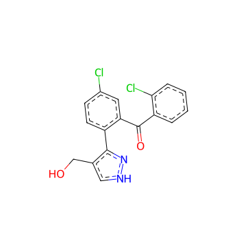 O=C(c1ccccc1Cl)c1cc(Cl)ccc1-c1n[nH]cc1CO